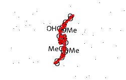 C=CC(=O)OCCCCOc1ccc(C(=O)Oc2c(C=O)cc(/C=C/C(=O)Oc3ccc4ccccc4c3-c3c(OC(=O)/C=C/c4cc(OC)c(OC(=O)c5ccc(OCCCCOC(=O)C=C)cc5)c(OC)c4)ccc4ccccc34)cc2OC)cc1